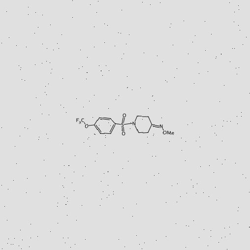 CON=C1CCN(S(=O)(=O)c2ccc(OC(F)(F)F)cc2)CC1